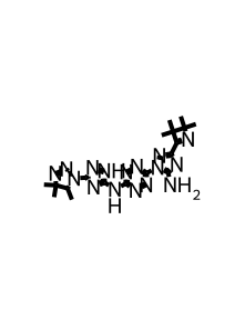 CC1N(c2n[nH]c(Nc3nnc(-n4nc(C5=NC(C)(C)C5(C)C)nc4N)nn3)n2)N=NC1(C)C